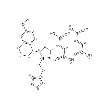 COc1ccc2c(c1)CCCC2C1CCCN1CCc1ccco1.O=C(O)C=CC(=O)O.O=C(O)C=CC(=O)O